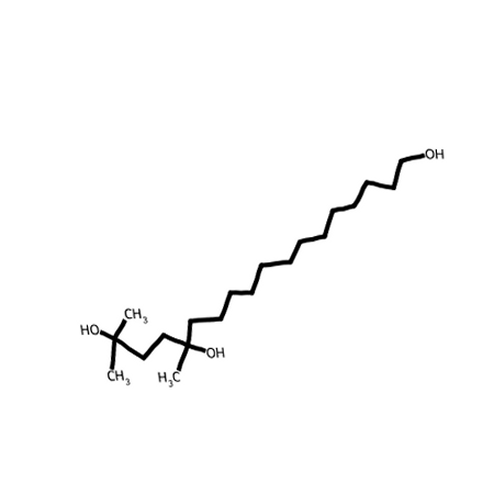 CC(C)(O)CCC(C)(O)CCCCCCCCCCCCCO